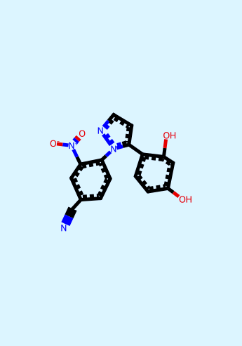 N#Cc1ccc(-n2nccc2-c2ccc(O)cc2O)c([N+](=O)[O-])c1